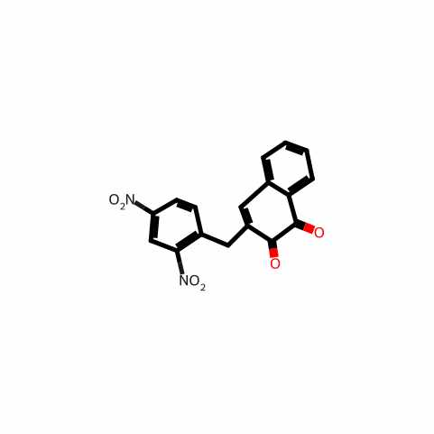 O=C1C(=O)c2ccccc2C=C1Cc1ccc([N+](=O)[O-])cc1[N+](=O)[O-]